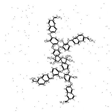 [C-]#[N+]c1c(Oc2ccc3cc(C=C)ccc3c2)cccc1Oc1cc2c(cc1Oc1cccc(Oc3ccc4cc(C=C)ccc4c3)c1[N+]#[C-])C1(CC(C)(C)c3cc(Oc4cccc(Oc5ccc6cc(C=C)ccc6c5)c4C#N)c(Oc4cccc(Oc5ccc6cc(C=C)ccc6c5)c4C#N)cc31)CC2(C)C